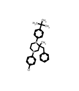 CC(C)(C)c1ccc(N2CCN(c3ccc(Cl)cc3)CC2(C)Cc2ccccc2)cc1